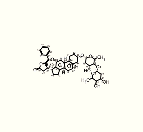 CC1O[C@H](OC2C(C)O[C@@H](O[C@H]3CC[C@@]4(C)[C@H](CC[C@@H]5[C@@H]4C[C@@H](O)[C@]4(C)[C@@H](C6CC(=O)O/C6=C\c6ccccc6)CC[C@]54O)C3)C[C@H]2O)C[C@@H](O)C1O